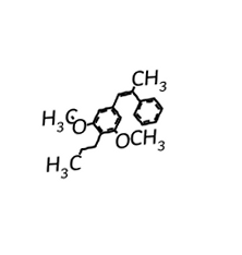 CCCc1c(OC)cc(C=C(C)c2ccccc2)cc1OC